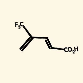 C=C(/C=C/C(=O)O)C(F)(F)F